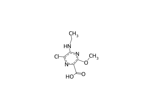 CCNc1nc(OC)c(C(=O)O)nc1Cl